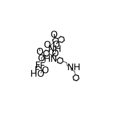 COc1cc(NC(=O)c2cc(=O)c3ccccc3o2)c(C(=O)Nc2ccc(CCNCCc3ccccc3)cc2)cc1OC.O=C(O)C(F)(F)F